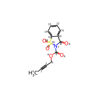 CC#CCOC(=O)N1C(=O)c2ccccc2S1(=O)=O